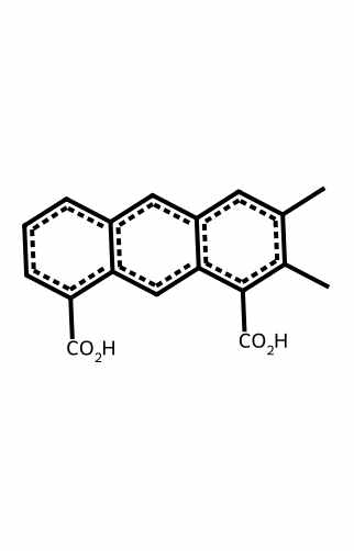 Cc1cc2cc3cccc(C(=O)O)c3cc2c(C(=O)O)c1C